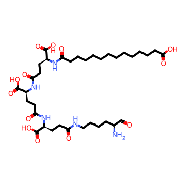 N[C@H](C=O)CCCCNC(=O)CC[C@H](NC(=O)CC[C@H](NC(=O)CC[C@H](NC(=O)CCCCCCCCCCCCC(=O)O)C(=O)O)C(=O)O)C(=O)O